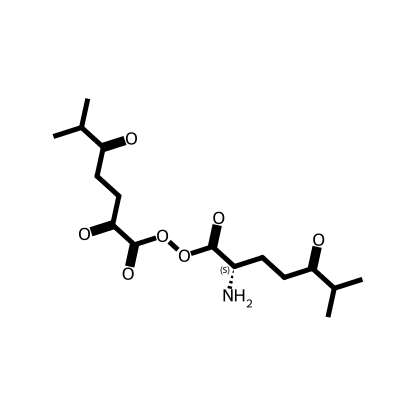 CC(C)C(=O)CCC(=O)C(=O)OOC(=O)[C@@H](N)CCC(=O)C(C)C